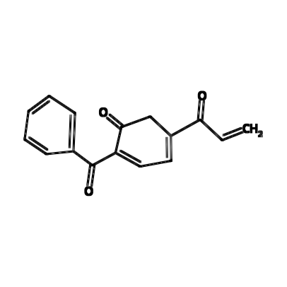 C=CC(=O)C1=CC=C(C(=O)c2ccccc2)C(=O)C1